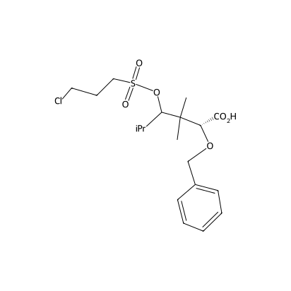 CC(C)C(OS(=O)(=O)CCCCl)C(C)(C)[C@@H](OCc1ccccc1)C(=O)O